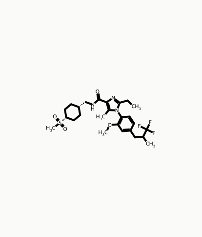 CCc1nc(C(=O)NC[C@H]2CC[C@@H](S(C)(=O)=O)CC2)c(C)n1-c1ccc(CC(C)C(F)(F)F)cc1OC